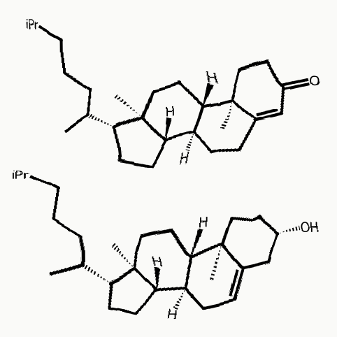 CC(C)CCCC(C)[C@H]1CC[C@H]2[C@@H]3CC=C4C[C@@H](O)CC[C@]4(C)[C@H]3CC[C@]12C.CC(C)CCCC(C)[C@H]1CC[C@H]2[C@@H]3CCC4=CC(=O)CC[C@]4(C)[C@H]3CC[C@]12C